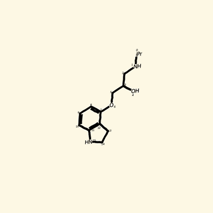 CC(C)NCC(O)COc1cccc2c1CCN2